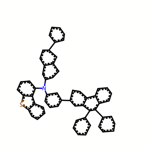 c1ccc(-c2ccc3cc(N(c4cccc(-c5ccc6c(c5)c(-c5ccccc5)c(-c5ccccc5)c5ccccc56)c4)c4cccc5sc6ccccc6c45)ccc3c2)cc1